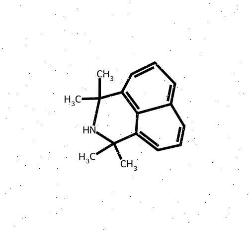 CC1(C)NC(C)(C)c2cccc3cccc1c23